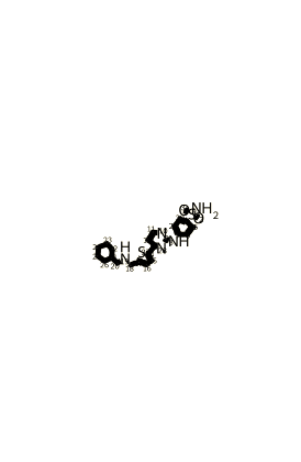 NS(=O)(=O)c1ccc(Nc2nccc(-c3ccc(CNCC4CCCCC4)s3)n2)cc1